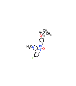 [2H]C([2H])(Oc1ccc(CNC(=O)N(Cc2ccc(F)cc2)C2CCN(C)CC2)cc1)C(C)C